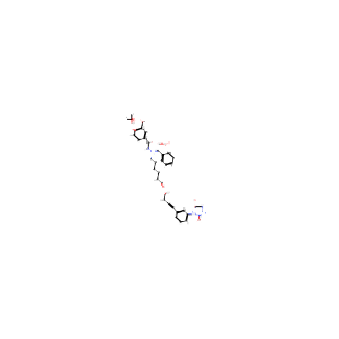 CC1(C)OCc2cc([C@@H](O)CN(CCCCCCOCCC#Cc3cccc(N4C(=O)CNC4=O)c3)[C@H](CO)c3ccccc3)ccc2O1